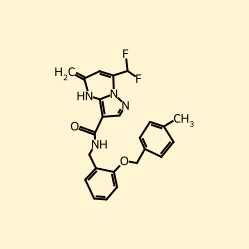 C=C1C=C(C(F)F)n2ncc(C(=O)NCc3ccccc3OCc3ccc(C)cc3)c2N1